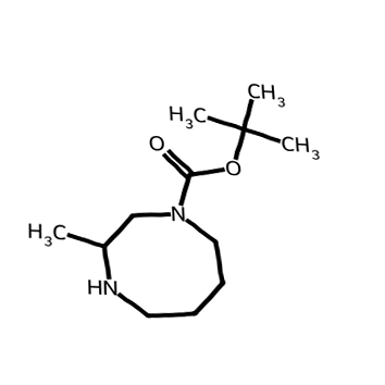 CC1CN(C(=O)OC(C)(C)C)CCCCN1